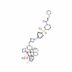 C=N[C@]1(C(CN2CCC2)(c2cccc(F)c2)C2CCN(CC3CN(c4ccc(S(=O)(=O)[C@@H]5CCCN(C(=O)/C=C/CN6CCCCC6)C5)cc4)C3)CC2)CCC[C@@H]1NC(=O)OC